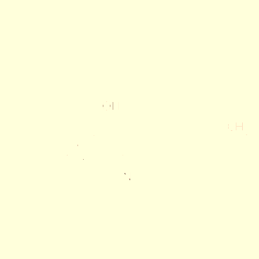 C=CCCC1N2CCC(CC2)C1(O)c1ccccc1